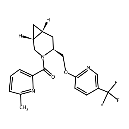 Cc1cccc(C(=O)N2C[C@@H]3C[C@@H]3C[C@H]2COc2ccc(C(F)(F)F)cn2)n1